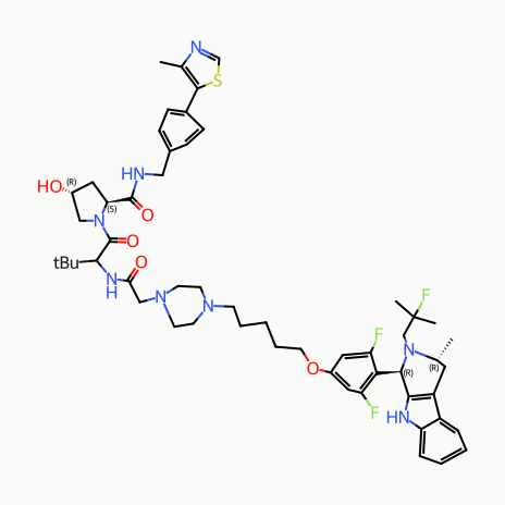 Cc1ncsc1-c1ccc(CNC(=O)[C@@H]2C[C@@H](O)CN2C(=O)C(NC(=O)CN2CCN(CCCCCOc3cc(F)c([C@@H]4c5[nH]c6ccccc6c5C[C@@H](C)N4CC(C)(C)F)c(F)c3)CC2)C(C)(C)C)cc1